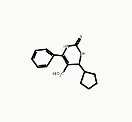 CCOC(=O)C1=C(c2ccccc2)NC(=S)NC1C1CCCC1